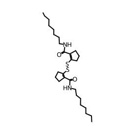 CCCCCCCCNC(=O)C1=C(SSC2=C(C(=O)NCCCCCCCC)CCC2)CCC1